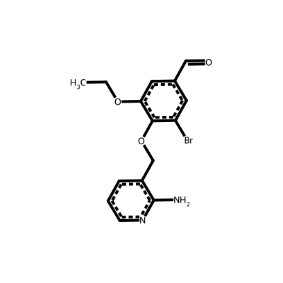 CCOc1cc(C=O)cc(Br)c1OCc1cccnc1N